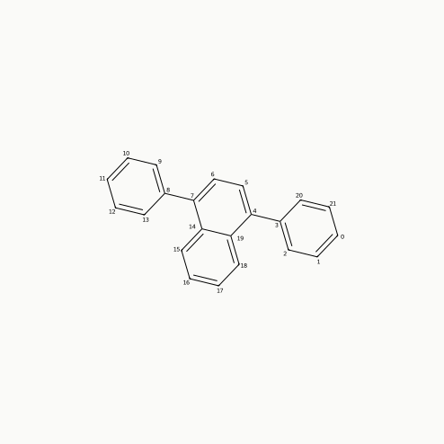 c1ccc(-c2ccc(-c3ccccc3)c3ccccc23)cc1